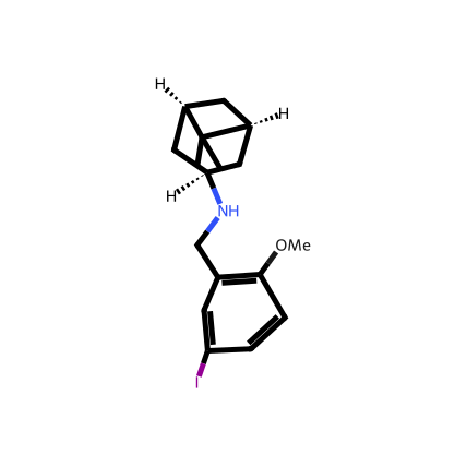 COc1ccc(I)cc1CN[C@@H]1C[C@@H]2C[C@H](C1)C2(C)C